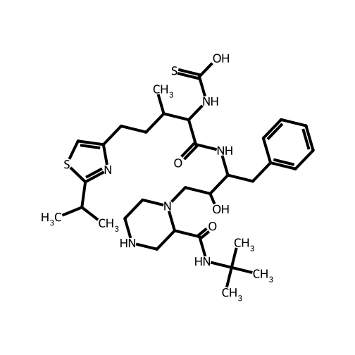 CC(C)c1nc(CCC(C)C(NC(O)=S)C(=O)NC(Cc2ccccc2)C(O)CN2CCNCC2C(=O)NC(C)(C)C)cs1